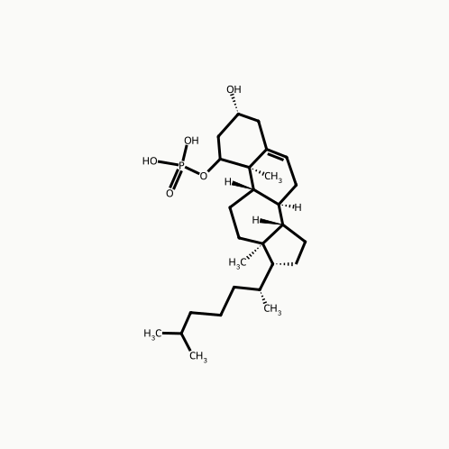 CC(C)CCC[C@@H](C)[C@H]1CC[C@H]2[C@@H]3CC=C4C[C@@H](O)CC(OP(=O)(O)O)[C@]4(C)[C@H]3CC[C@]12C